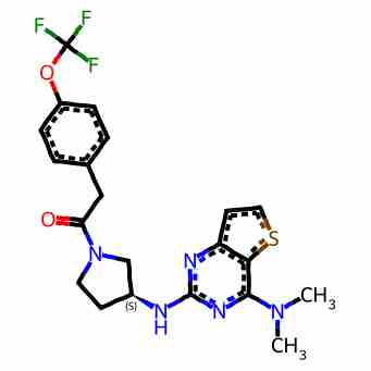 CN(C)c1nc(N[C@H]2CCN(C(=O)Cc3ccc(OC(F)(F)F)cc3)C2)nc2ccsc12